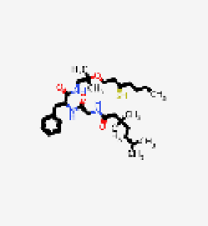 CCCCC(S)CCOC(C)(C)CNC(=O)C(Cc1ccccc1)NC(=O)CNC(=O)CC(C)(C)CCC(C)C